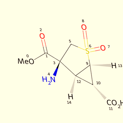 COC(=O)[C@]1(N)CS(=O)(=O)[C@H]2[C@H](C(=O)O)[C@H]21